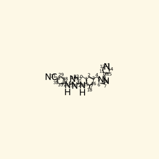 Cc1cc(Cn2ccnc2-c2ccncc2)cc(C)c1Nc1ccnc(Nc2ccc(C#N)cc2)n1